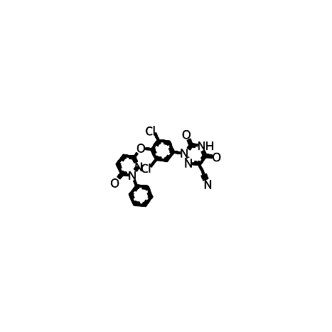 N#Cc1nn(-c2cc(Cl)c(Oc3ccc(=O)n(-c4ccccc4)n3)c(Cl)c2)c(=O)[nH]c1=O